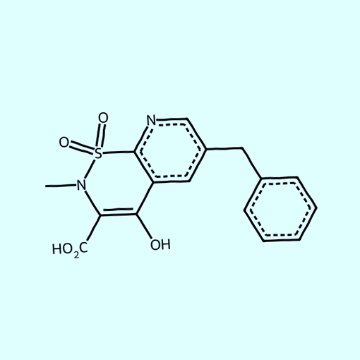 CN1C(C(=O)O)=C(O)c2cc(Cc3ccccc3)cnc2S1(=O)=O